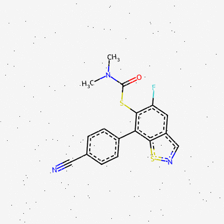 CN(C)C(=O)Sc1c(F)cc2cnsc2c1-c1ccc(C#N)cc1